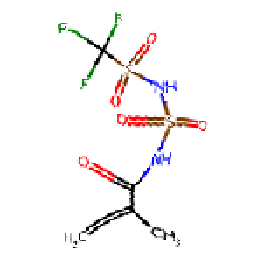 C=C(C)C(=O)NS(=O)(=O)NS(=O)(=O)C(F)(F)F